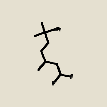 CCCC(C)(C)CCC(C)CC(F)F